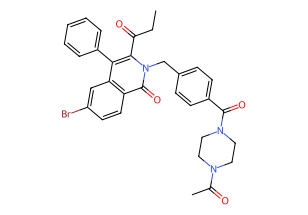 CCC(=O)c1c(-c2ccccc2)c2cc(Br)ccc2c(=O)n1Cc1ccc(C(=O)N2CCN(C(C)=O)CC2)cc1